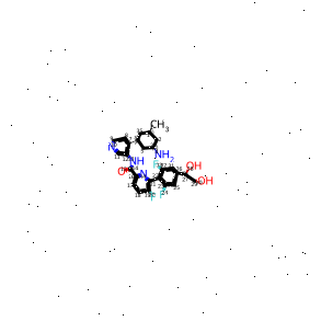 C[C@@H]1C[C@H](N)C[C@H](c2ccncc2NC(=O)c2ccc(F)c(-c3c(F)cc([C@@H](O)CO)cc3F)n2)C1